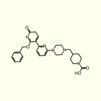 O=C1CC=C(c2cccc(N3CCN(CC4CCN(C(=O)O)CC4)CC3)n2)C(OCc2ccccc2)=N1